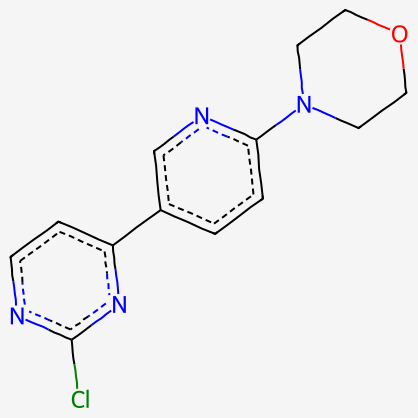 Clc1nccc(-c2ccc(N3CCOCC3)nc2)n1